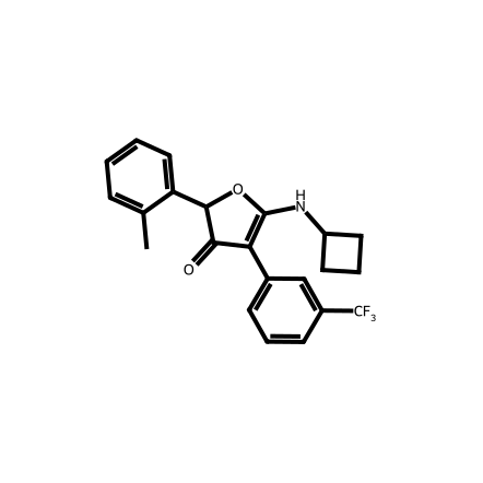 Cc1ccccc1C1OC(NC2CCC2)=C(c2cccc(C(F)(F)F)c2)C1=O